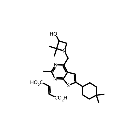 Cc1nc(CN2CC(O)C2(C)C)c2cc(C3CCC(C)(C)CC3)sc2n1.O=C(O)/C=C/C(=O)O